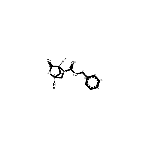 O=C1O[C@H]2C[C@@H]1N(C(=O)OCc1ccccc1)C2